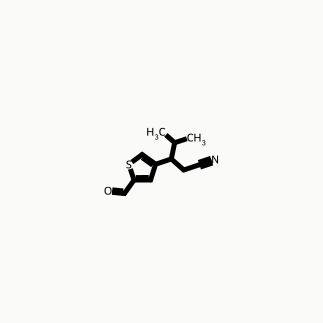 CC(C)C(CC#N)c1csc(C=O)c1